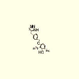 CCCc1c(OCc2ccc(Cc3nnn[nH]3)cc2)ccc(C(C)=O)c1O